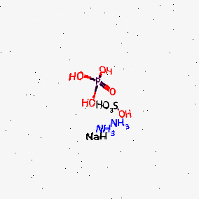 N.N.O=P(O)(O)O.O=S(=O)(O)O.[NaH]